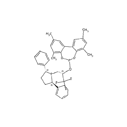 Cc1cc(C)c2op(O[C@@H](CP3[C@@H](c4ccccc4)CC[C@@H]3c3ccccc3)C(F)(F)F)oc3c(C)cc(C)cc3c2c1